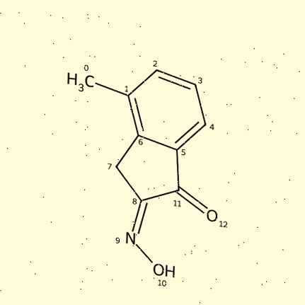 Cc1cccc2c1C/C(=N/O)C2=O